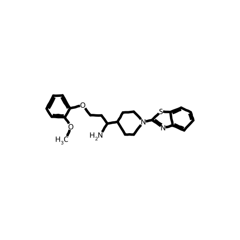 COc1ccccc1OCCC(N)C1CCN(c2nc3ccccc3s2)CC1